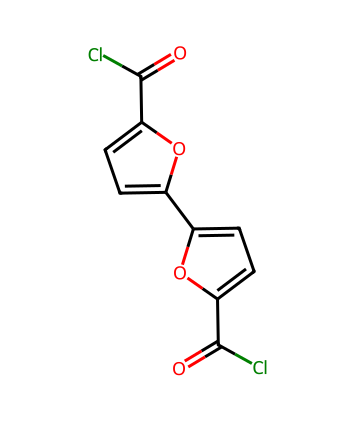 O=C(Cl)c1ccc(-c2ccc(C(=O)Cl)o2)o1